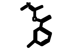 C=C(O/C(C)=N\C)c1cccc(C)c1